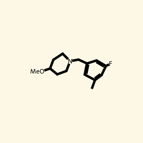 COC1CCN(Cc2cc(C)cc(F)c2)CC1